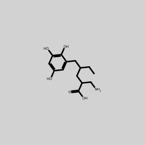 CCC(Cc1cc(O)cc(O)c1O)CC(CN)C(=O)O